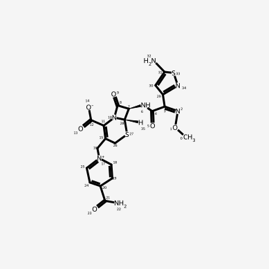 CO/N=C(\C(=O)N[C@@H]1C(=O)N2C(C(=O)[O-])=C(C[n+]3ccc(C(N)=O)cc3)CS[C@@H]12)c1cc(N)sn1